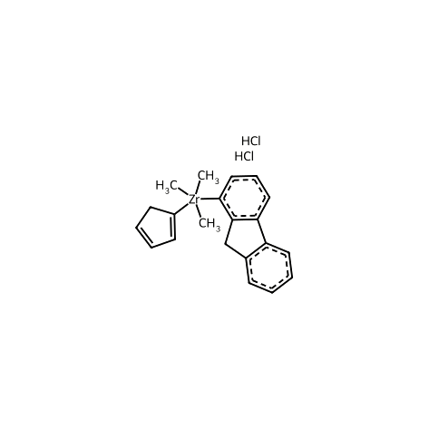 Cl.Cl.[CH3][Zr]([CH3])([CH3])([C]1=CC=CC1)[c]1cccc2c1Cc1ccccc1-2